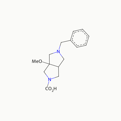 COC12CN(Cc3ccccc3)CC1CN(C(=O)O)C2